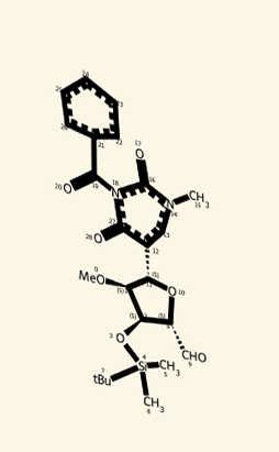 CO[C@@H]1[C@H](O[Si](C)(C)C(C)(C)C)[C@@H](C=O)O[C@H]1c1cn(C)c(=O)n(C(=O)c2ccccc2)c1=O